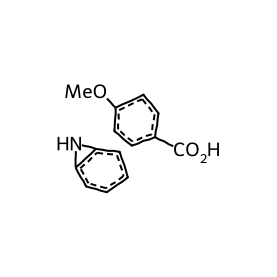 COc1ccc(C(=O)O)cc1.c1ccc2c(c1)N2